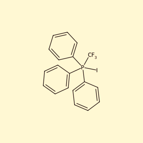 FC(F)(F)P(I)(c1ccccc1)(c1ccccc1)c1ccccc1